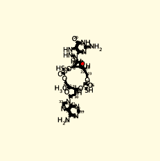 C[C@@]12COP(=O)(S)O[C@H]3C(N4NNc5c4nc(N)[nH]c5=O)O[C@H](COP(=O)(S)O[C@H]1C[C@H](n1cnc4c(N)ncnc41)O2)[C@@H]3F